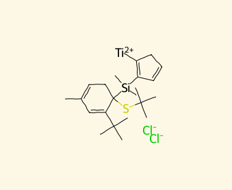 CC1=CCC(SC(C)(C)C)([Si](C)(C)C2=[C]([Ti+2])CC=C2)C(C(C)(C)C)=C1.[Cl-].[Cl-]